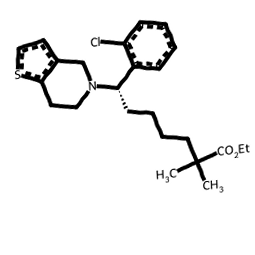 CCOC(=O)C(C)(C)CCCC[C@@H](c1ccccc1Cl)N1CCc2sccc2C1